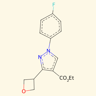 CCOC(=O)c1cn(-c2ccc(F)cc2)nc1C1COC1